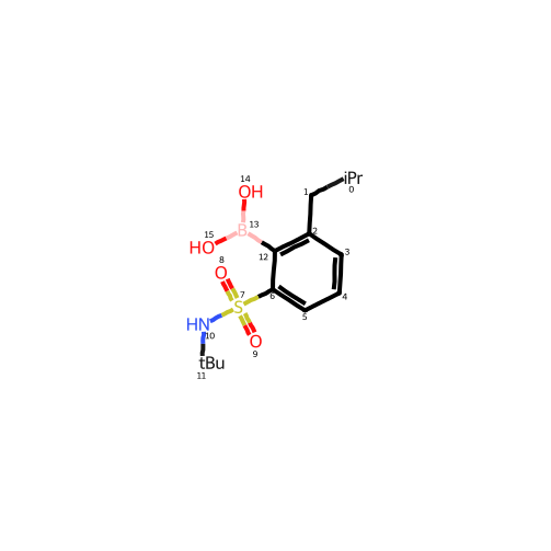 CC(C)Cc1cccc(S(=O)(=O)NC(C)(C)C)c1B(O)O